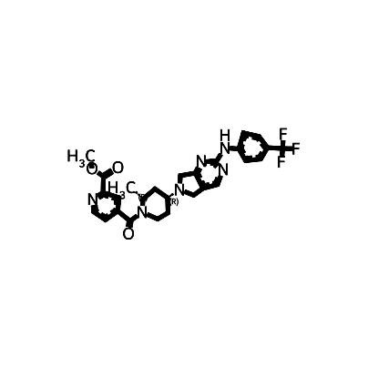 COC(=O)c1cc(C(=O)N2CC[C@@H](N3Cc4cnc(Nc5ccc(C(F)(F)F)cc5)nc4C3)C[C@H]2C)ccn1